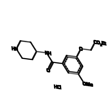 CCOC(=O)COc1cc(OC)cc(C(=O)NC2CCNCC2)c1.Cl